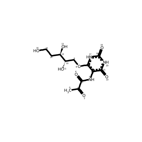 CC(=O)C(=O)Nc1c(OC[C@H](O)[C@H](O)CCO)[nH]c(=O)[nH]c1=O